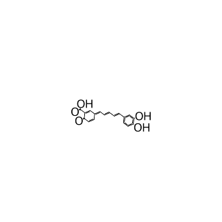 O=C(O)C1=C/C(=C/C=C/C=C/c2ccc(O)c(O)c2)C=CC1=O